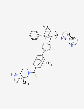 CC12CC3CC(C(=S)N4CC[C@H](N)C(C)(C)C4)(C1)CC(c1ccc(C45CC6(C)CC(C(=S)N[C@H]7CN8CCC7CC8)(CC(c7ccccc7)(C6)C4)C5)cc1)(C3)C2